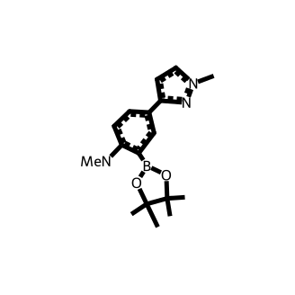 CNc1ccc(-c2ccn(C)n2)cc1B1OC(C)(C)C(C)(C)O1